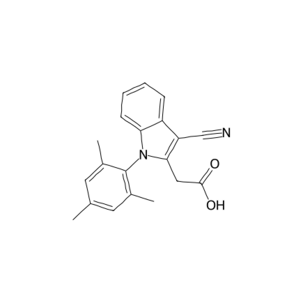 Cc1cc(C)c(-n2c(CC(=O)O)c(C#N)c3ccccc32)c(C)c1